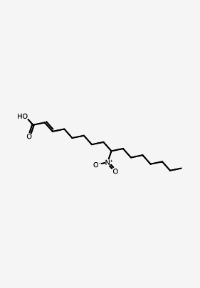 CCCCCCCC(CCCCCC=CC(=O)O)[N+](=O)[O-]